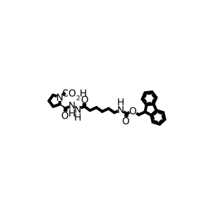 O=C(CCCCCNC(=O)OCC1c2ccccc2-c2ccccc21)NNC(=O)[C@H]1CCCN1C(=O)O